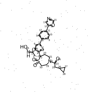 O=C(C[C@]1(c2ccc(-c3ccc(-c4cnco4)cc3)s2)CCN(C(=O)CC2CC2)CCS1(=O)=O)NO